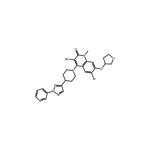 Cn1c(=O)c(C#N)c(N2CCC(c3cnn(-c4cccnc4)n3)CC2)c2cc(Br)c(OC3CCOC3)cc21